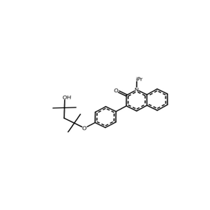 CC(C)n1c(=O)c(-c2ccc(OC(C)(C)CC(C)(C)O)cc2)cc2ccccc21